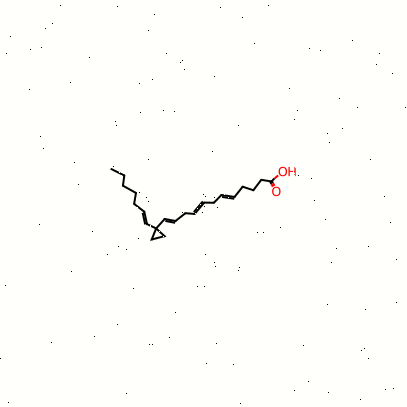 CCCCCC=CC1(C=CCC=CCC=CCCCC(=O)O)CC1